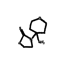 NC1(N2CCOC2=S)CCOCC1